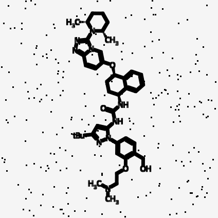 C[C@@H]1CCC[C@H](C)N1c1nnc2ccc(O[C@@H]3CC[C@H](NC(=O)Nc4cc(C(C)(C)C)nn4-c4ccc(CO)c(OCCN(C)C)c4)c4ccccc43)cn12